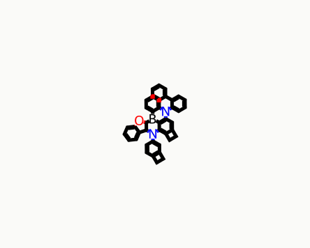 c1ccc(-c2ccccc2N2c3ccccc3B3c4c2cc2c(c4N(c4ccc5c(c4)CC5)C4c5ccccc5OC34)CC2)cc1